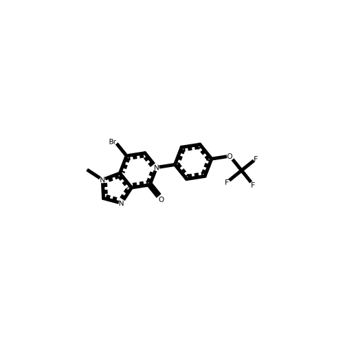 Cn1cnc2c(=O)n(-c3ccc(OC(F)(F)F)cc3)cc(Br)c21